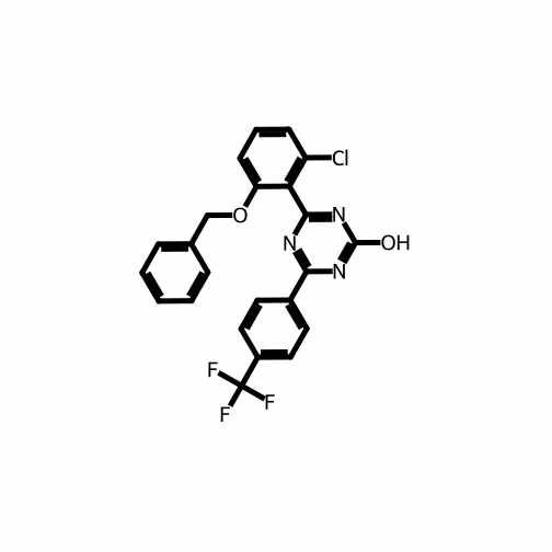 Oc1nc(-c2ccc(C(F)(F)F)cc2)nc(-c2c(Cl)cccc2OCc2ccccc2)n1